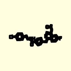 CC(=O)Cc1cnc(Cc2ccc(C(=O)NCCc3ccc(Cl)cc3)cc2)c2ccc(F)cc12